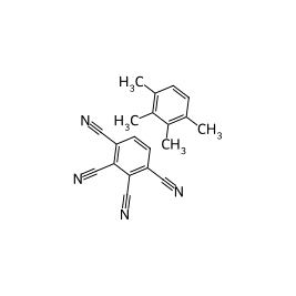 Cc1ccc(C)c(C)c1C.N#Cc1ccc(C#N)c(C#N)c1C#N